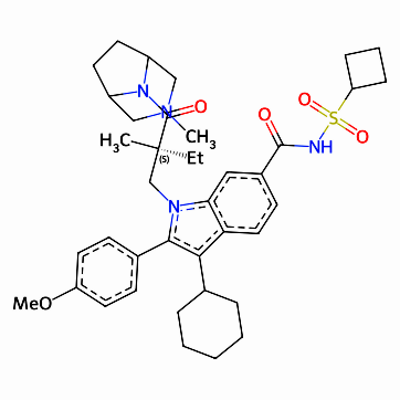 CC[C@@](C)(Cn1c(-c2ccc(OC)cc2)c(C2CCCCC2)c2ccc(C(=O)NS(=O)(=O)C3CCC3)cc21)C(=O)N1C2CCC1CN(C)C2